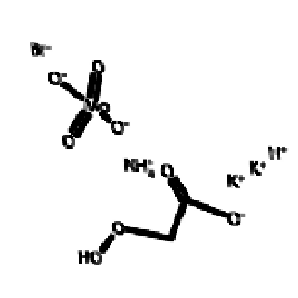 O=C([O-])COO.[Br-].[H+].[K+].[K+].[NH4+].[O]=[Mo](=[O])([O-])[O-]